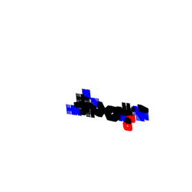 N#C[C@]1(c2ccc(-c3ccc4c(c3)C[C@H]3[C@H](Cn5ccnn5)OC(=O)N43)cn2)[C@@H]2CNC[C@@H]21